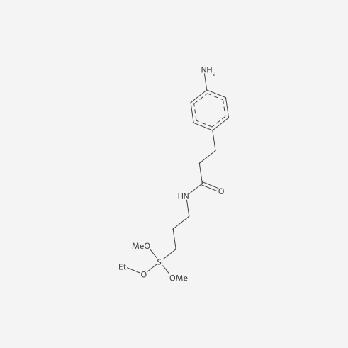 CCO[Si](CCCNC(=O)CCc1ccc(N)cc1)(OC)OC